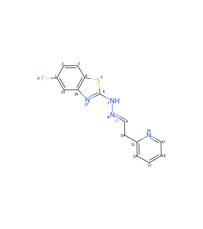 Fc1ccc2sc(N/N=C/Cc3ccccn3)nc2c1